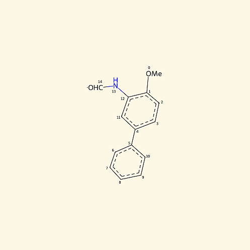 COc1ccc(-c2ccccc2)cc1N[C]=O